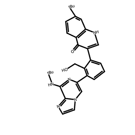 CC(C)(C)Nc1nc(-c2cccc(-c3c[nH]c4cc(C(C)(C)C)ccc4c3=O)c2CO)cn2ccnc12